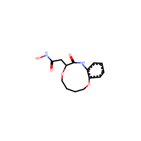 O=C(CC1OCCCCOc2ccccc2NC1=O)NO